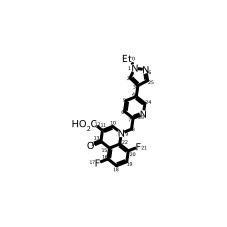 CCn1cc(-c2ccc(Cn3cc(C(=O)O)c(=O)c4c(F)ccc(F)c43)nc2)cn1